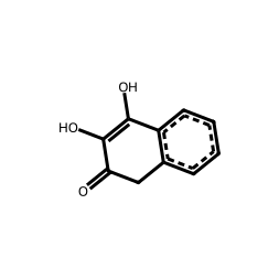 O=C1Cc2ccccc2C(O)=C1O